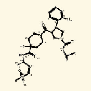 CC(C)OC(=O)N1C[C@H](c2ccccc2Cl)[C@H](C(=O)N2CCC(F)(C(=O)N[C@H](C)/C=C\S(C)(=O)=O)CC2)C1